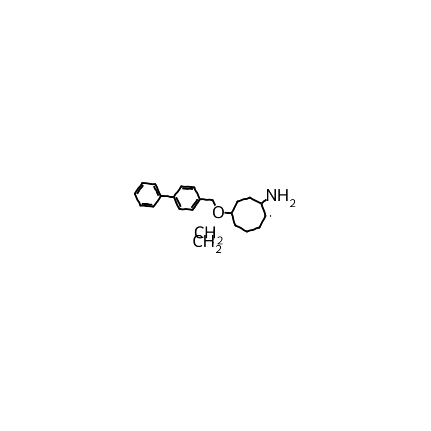 NC1[CH]CCCC(OCc2ccc(-c3ccccc3)cc2)CC1.[CH2].[CH2]